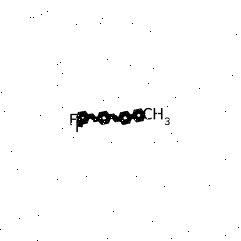 CC1CCC(C2CCC(/C=C/C3CCC(CCc4ccc(F)c(F)c4)CC3)CC2)CC1